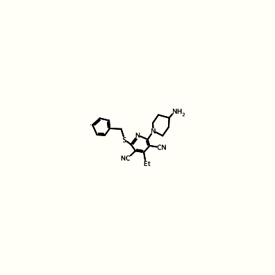 CCc1c(C#N)c(SCc2cc[c]cc2)nc(N2CCC(N)CC2)c1C#N